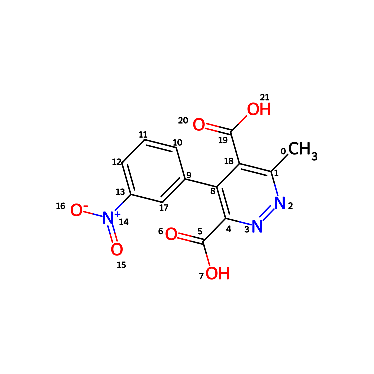 Cc1nnc(C(=O)O)c(-c2cccc([N+](=O)[O-])c2)c1C(=O)O